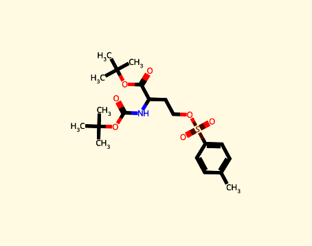 Cc1ccc(S(=O)(=O)OCCC(NC(=O)OC(C)(C)C)C(=O)OC(C)(C)C)cc1